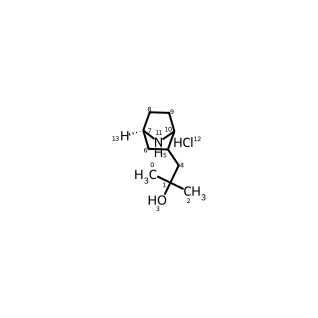 CC(C)(O)CC1C[C@H]2CCC1N2.Cl